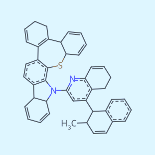 CC1C=Cc2ccccc2C1c1cc(N2c3c(ccc4c3SC3C=CC=CC3C3=C4C=CCC3)C3C=CC=CC32)nc2c1CCC=C2